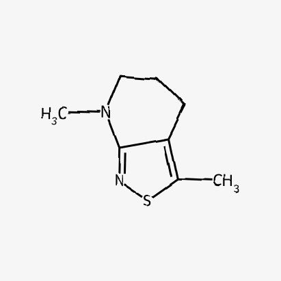 Cc1snc2c1CCCN2C